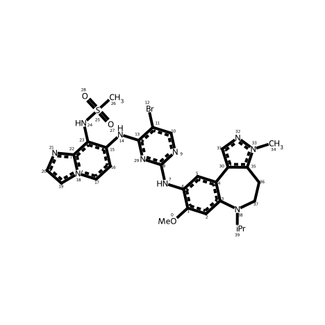 COc1cc2c(cc1Nc1ncc(Br)c(Nc3ccn4ccnc4c3NS(C)(=O)=O)n1)-c1cnn(C)c1CCN2C(C)C